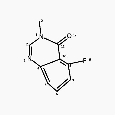 Cn1cnc2cccc(F)c2c1=O